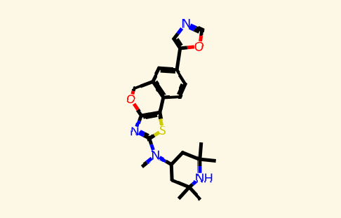 CN(c1nc2c(s1)-c1ccc(-c3cnco3)cc1CO2)C1CC(C)(C)NC(C)(C)C1